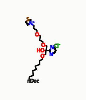 CCCCCCCCCCCCCCCCCCOCC(O)(COCCCOCCC[n+]1ccsc1)c1ncccn1.[Cl-]